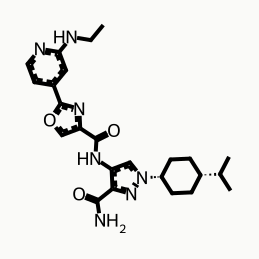 CCNc1cc(-c2nc(C(=O)Nc3cn([C@H]4CC[C@@H](C(C)C)CC4)nc3C(N)=O)co2)ccn1